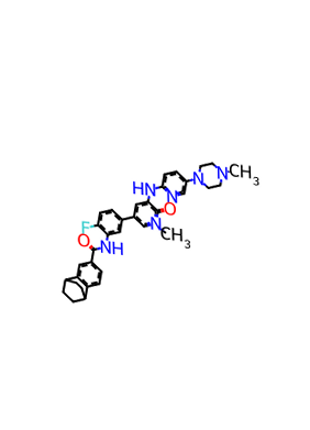 CN1CCN(c2ccc(Nc3cc(-c4ccc(F)c(NC(=O)c5ccc6c(c5)C5CCC6CC5)c4)cn(C)c3=O)nc2)CC1